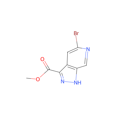 COC(=O)c1n[nH]c2cnc(Br)cc12